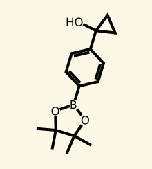 CC1(C)OB(c2ccc(C3(O)CC3)cc2)OC1(C)C